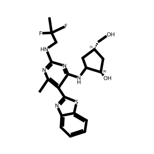 Cc1nc(NCC(C)(F)F)nc(NC2C[C@H](CO)C[C@H]2O)c1-c1nc2ccccc2s1